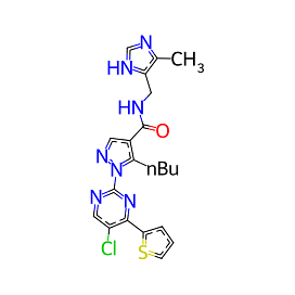 CCCCc1c(C(=O)NCc2[nH]cnc2C)cnn1-c1ncc(Cl)c(-c2cccs2)n1